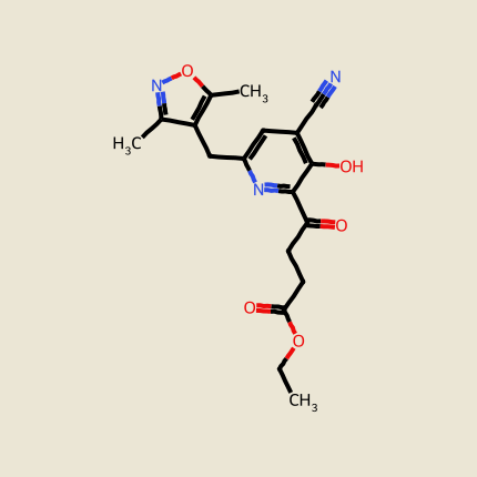 CCOC(=O)CCC(=O)c1nc(Cc2c(C)noc2C)cc(C#N)c1O